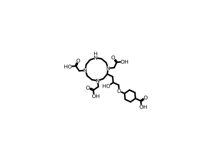 O=C(O)CN1CCNCCN(CC(=O)O)C(CC(O)COC2CCC(C(=O)O)CC2)CN(CC(=O)O)CC1